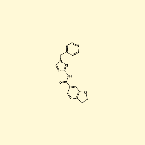 O=C(Nc1ccn(Cc2ccncc2)n1)c1ccc2c(c1)OCC2